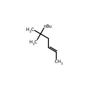 [CH2]CCCC(C)(C)CC=CC